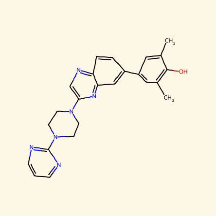 Cc1cc(-c2ccc3ncc(N4CCN(c5ncccn5)CC4)nc3c2)cc(C)c1O